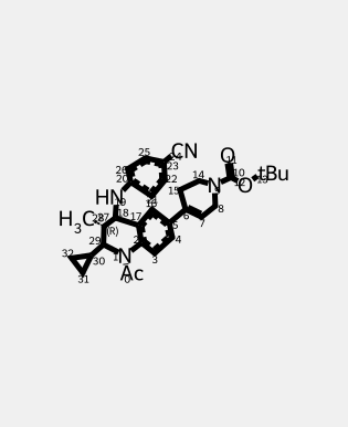 CC(=O)N1c2ccc(C3=CCN(C(=O)OC(C)(C)C)CC3)cc2C(Nc2ccc(C#N)cc2)[C@@H](C)C1C1CC1